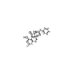 COCC1=C(C(=O)O)N2C(=O)C(NC(=O)Cc3ccccc3)[C@H]2SC1